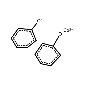 [Co+2].[O-]c1ccccc1.[O-]c1ccccc1